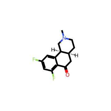 CN1CC[C@H]2CC(=O)c3c(F)cc(F)cc3[C@H]2C1